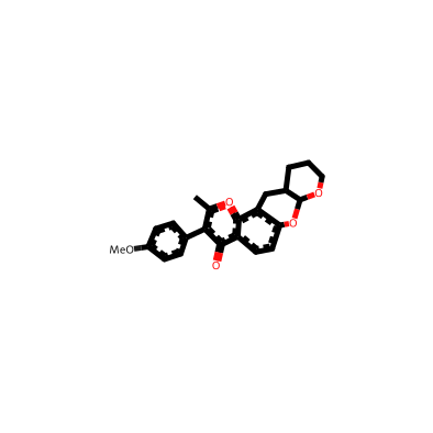 COc1ccc(-c2c(C)oc3c4c(ccc3c2=O)OC2OCCCC2C4)cc1